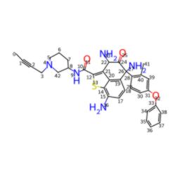 CC#CCN1CCCC(NC(=O)c2sc3c(N)ccc4c3c2C(N)C(=O)C4(N)c2ccc(Oc3ccccc3)cc2C)C1